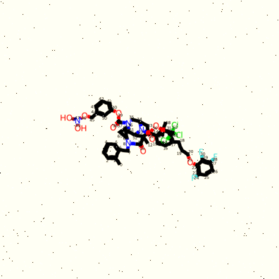 Cc1ccccc1CN(C(=O)C1(C)C(c2ccc(CCCOc3c(F)ccc(F)c3F)cc2)CC2CN(C(=O)Oc3cccc(CON(O)O)c3)CC1N2C(=O)OC(C)(C)C(Cl)(Cl)Cl)C1CC1